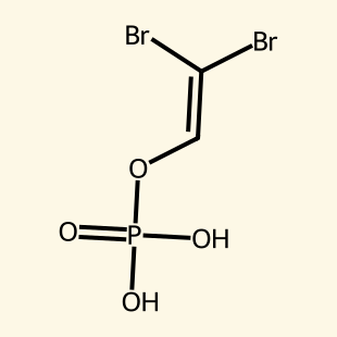 O=P(O)(O)OC=C(Br)Br